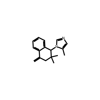 C=C1CC(C)(C)C(n2cncc2C)c2ccccc21